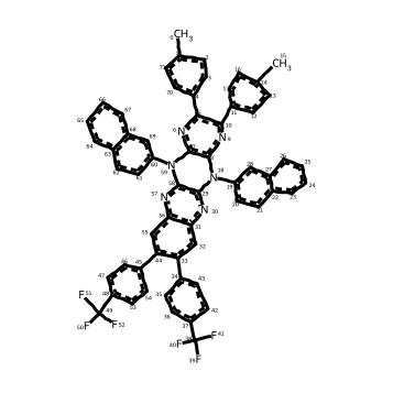 Cc1ccc(-c2nc3c(nc2-c2ccc(C)cc2)N(c2ccc4ccccc4c2)c2nc4cc(-c5ccc(C(F)(F)F)cc5)c(-c5ccc(C(F)(F)F)cc5)cc4nc2N3c2ccc3ccccc3c2)cc1